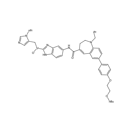 CCCCOCCOc1ccc(-c2ccc3c(c2)C=C(C(=O)Nc2ccc4[nH]c([S+]([O-])Cc5cncn5CCC)nc4c2)CCN3CC(C)C)cc1